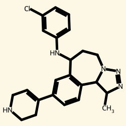 CC1N=NN2CCC(Nc3cccc(Cl)c3)c3cc(C4=CCNCC4)ccc3C12